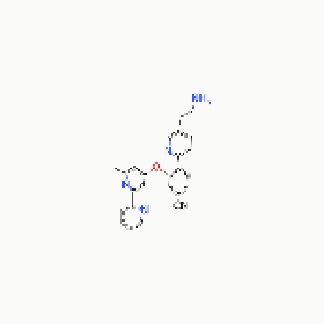 Cc1cc(Oc2cc(C#N)ccc2-c2ccc(CCN)cn2)cc(-c2ccccn2)n1